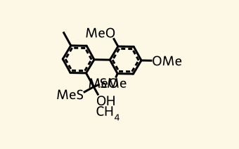 C.COc1cc(OC)c(-c2cc(C)ccc2C(O)(SC)SC)c(OC)c1